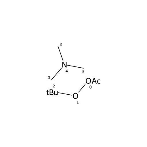 CC(=O)OOC(C)(C)C.CN(C)C